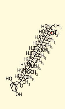 CCC(C)(C)C(C)(CC)C(C)(CC)C(C)(CC)C(C)(CC)C(C)(CC)C(C)(CC)C(C)(CC)C(C)(CC)C(C)(CC)C(C)(CC)C(C)(CC)C(C)(CC)C(C)(CC)C(C)(CC)C(C)(CC)C(C)(CC)C(C)(CC)C(C)(CC)C(C)(CC)C(=O)OC12CC3CC(O)(CC(O)(C3)C1)C2